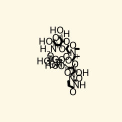 CC(=O)N(C(=O)C(C)O[C@@H]1[C@@H](N)[C@@H](O)O[C@H](CO)[C@H]1O)[C@@H](C)C(=O)O[C@H]1[C@@H](O)[C@H](n2ccc(=O)[nH]c2=O)O[C@@H]1COP(=O)(O)OP(=O)(O)O